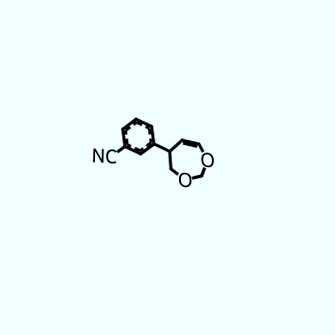 N#Cc1cccc(C2C=COCOC2)c1